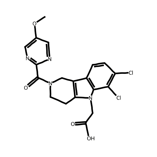 COc1cnc(C(=O)N2CCc3c(c4ccc(Cl)c(Cl)c4n3CC(=O)O)C2)nc1